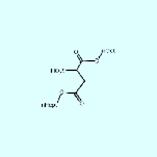 CCCCCCCCOC(=O)C(CC(=O)OCCCCCCC)S(=O)(=O)O